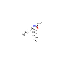 C/C=C/C(=O)NC(CCCCCCC)CCCCCCC